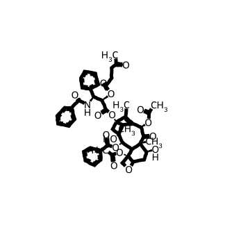 CC(=O)CCC(=O)O[C@@H](C(=O)O[C@]12C[C@@]3(O)[C@@H](OC(=O)c4ccccc4)C4[C@]5(OC(C)=O)COC5C[C@H](O)[C@@]4(C)C(=O)[C@H](OC(C)=O)C(=C1C)[C@]32C)[C@@H](NC(=O)c1ccccc1)c1ccccc1